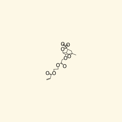 C=CC(=O)OCCOC(=O)COC1C2OS(=O)(=O)C3CC1(C)OC23